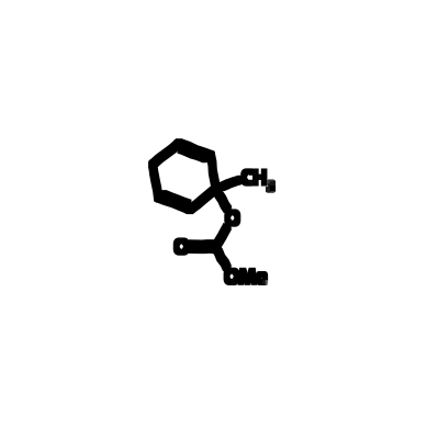 COC(=O)OC1(C)C=CCC=C1